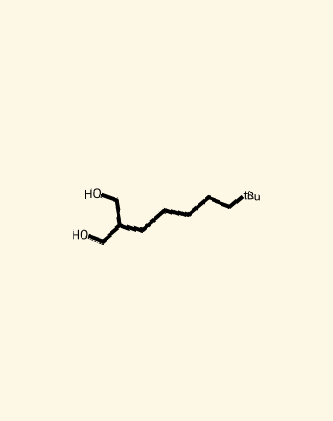 CC(C)(C)CCCCCC(CO)CO